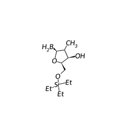 B[C@@H]1O[C@H](CO[Si](CC)(CC)CC)[C@H](O)C1C